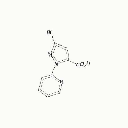 O=C(O)c1cc(Br)nn1-c1ccccn1